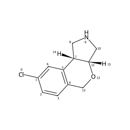 Clc1ccc2c(c1)[C@@H]1CNC[C@@H]1OC2